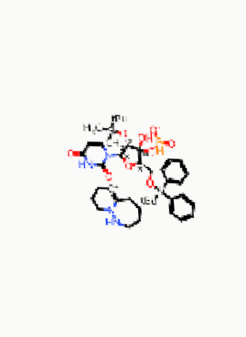 CC(C)(C)[Si](C)(C)O[C@H]1[C@H](n2ccc(=O)[nH]c2=O)O[C@H](CO[Si](c2ccccc2)(c2ccccc2)C(C)(C)C)[C@@]1(O)O[PH](=O)[O-].[C+]1=C2CCCCNN2CCC1